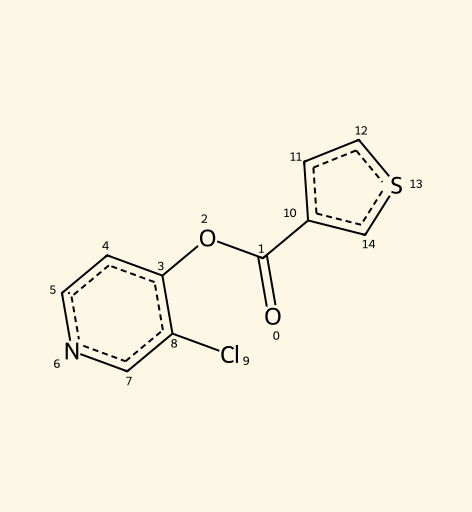 O=C(Oc1c[c]ncc1Cl)c1ccsc1